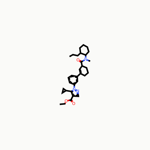 CCCC1CCCCC1N(C)C(=O)C1C=C(c2cccc(-n3ncc(C(=O)OCC)c3C3CC3)c2)CCC1